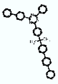 CC(C)(c1ccc(-c2ccc(-c3ccccc3)cc2)cc1)c1ccc(-c2nc(-c3ccccc3)nc(-c3ccc(-c4ccccc4)cc3)n2)cc1